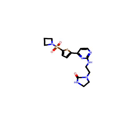 O=C1NCCN1CCNc1nccc(-c2ccc(S(=O)(=O)N3CCC3)s2)n1